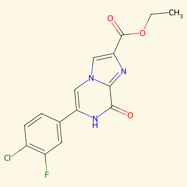 CCOC(=O)c1cn2cc(-c3ccc(Cl)c(F)c3)[nH]c(=O)c2n1